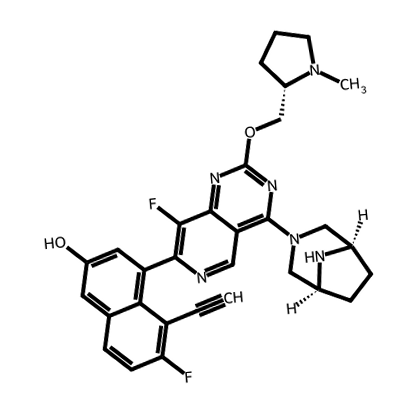 C#Cc1c(F)ccc2cc(O)cc(-c3ncc4c(N5C[C@H]6CC[C@@H](C5)N6)nc(OC[C@@H]5CCCN5C)nc4c3F)c12